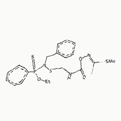 CCOP(=S)(c1ccccc1)N(Cc1ccccc1)SCNC(=O)O/N=C(\C)SC